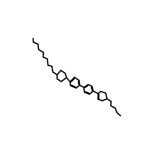 CCCCCCCCCCC1CCC(c2ccc(-c3ccc(C4=CCC(CCCCC)CC4)cc3)cc2)CC1